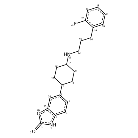 O=c1[nH]c2ccc(C3CCC(NCCCc4ccccc4F)CC3)cc2o1